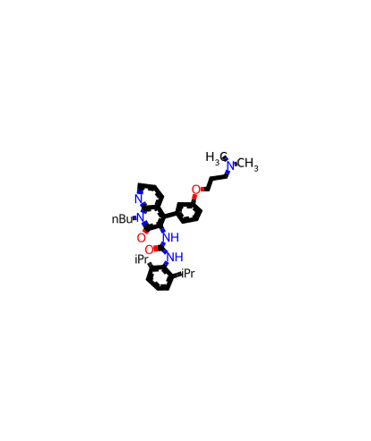 CCCCn1c(=O)c(NC(=O)Nc2c(C(C)C)cccc2C(C)C)c(-c2cccc(OCCCN(C)C)c2)c2cccnc21